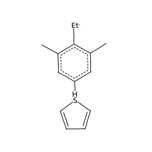 C[CH]c1c(C)cc([SH]2C=CC=C2)cc1C